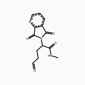 CNC(=O)C(CCC=O)N1C(=O)c2cccnc2C1=O